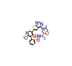 COc1ncc(-c2cc3c(N4CCOCC4C)ncnc3s2)cc1-c1ccccc1S(N)(=O)=O